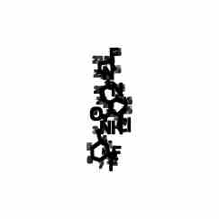 O=C(NCC1CCCC(F)(F)C1)c1c(Cl)ccc2nc(N3CC[C@H](F)C3)ccc12